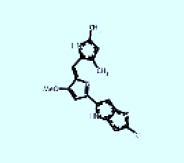 COC1=CC(c2cc3sc(Cl)cc3[nH]2)=NC1=Cc1[nH]c(C)cc1C